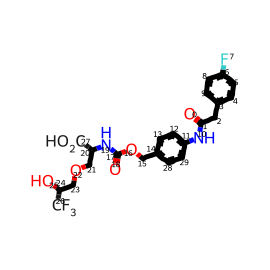 O=C(Cc1ccc(F)cc1)Nc1ccc(COC(=O)NC(COCC(O)C(F)(F)F)C(=O)O)cc1